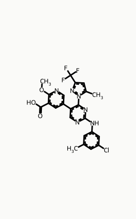 COc1ncc(-c2cnc(Nc3cc(C)cc(Cl)c3)nc2-n2nc(C(F)(F)F)cc2C)cc1C(=O)O